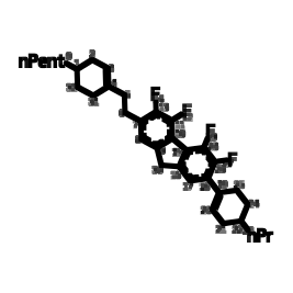 CCCCCC1CC=C(CCc2cc3c(c(F)c2F)-c2c(cc(C4=CCC(CCC)CC4)c(F)c2F)C3)CC1